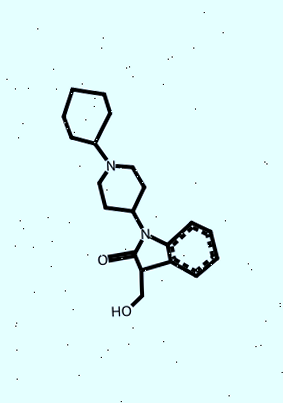 O=C1C(CO)c2ccccc2N1C1CCN(C2CCCCC2)CC1